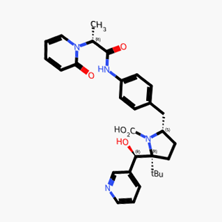 C[C@H](C(=O)Nc1ccc(C[C@@H]2CC[C@]([C@H](O)c3cccnc3)(C(C)(C)C)N2C(=O)O)cc1)n1ccccc1=O